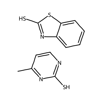 Cc1ccnc(S)n1.Sc1nc2ccccc2s1